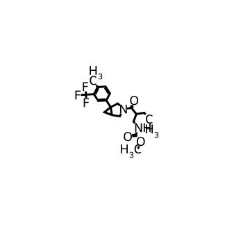 CCC(CNC(=O)OC)C(=O)N1CC2CC2(c2ccc(C)c(C(F)(F)F)c2)C1